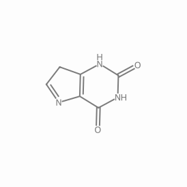 O=c1[nH]c2c(c(=O)[nH]1)N=CC2